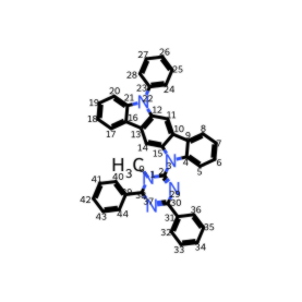 CN1C(n2c3ccccc3c3cc4c(cc32)c2ccccc2n4-c2ccccc2)=NC(c2ccccc2)=NC1c1ccccc1